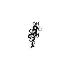 CC(C)COC(=O)CC(C(=O)NCc1c(Cl)cc(O)cc1Cl)N1CCC[C@]1(C)C(=O)O